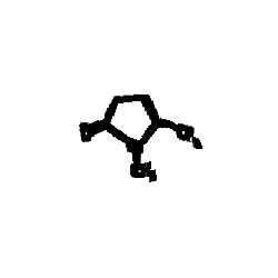 CN1[C](C(F)(F)F)CCC1=O